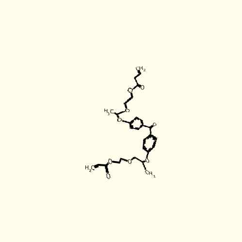 C=CCC(=O)OCCOC(C)Oc1ccc(C(=O)c2ccc(OC(C)COCCOC(=O)C=C)cc2)cc1